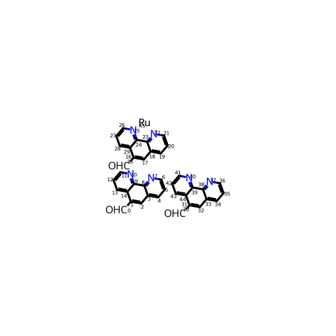 O=Cc1cc2cccnc2c2ncccc12.O=Cc1cc2cccnc2c2ncccc12.O=Cc1cc2cccnc2c2ncccc12.[Ru]